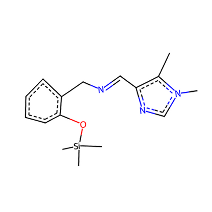 Cc1c(C=NCc2ccccc2O[Si](C)(C)C)ncn1C